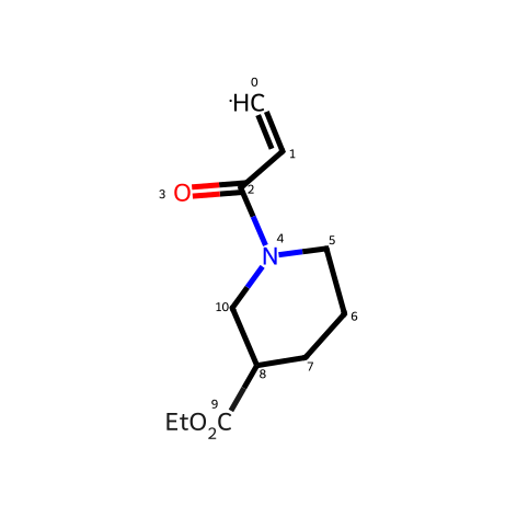 [CH]=CC(=O)N1CCCC(C(=O)OCC)C1